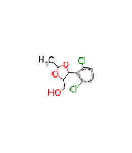 CC1OC(CO)C(c2c(Cl)cccc2Cl)O1